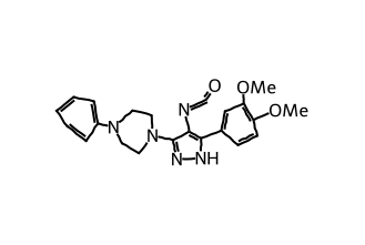 COc1ccc(-c2[nH]nc(N3CCN(c4ccccc4)CC3)c2N=C=O)cc1OC